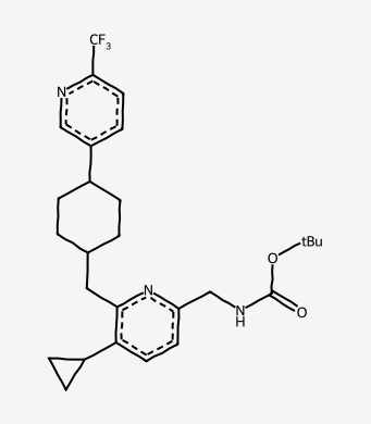 CC(C)(C)OC(=O)NCc1ccc(C2CC2)c(CC2CCC(c3ccc(C(F)(F)F)nc3)CC2)n1